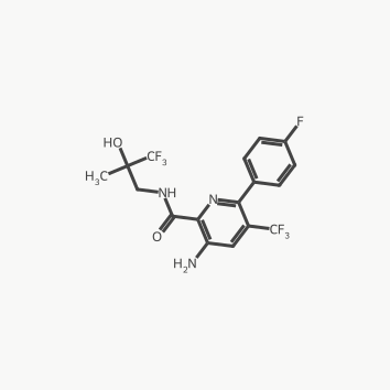 CC(O)(CNC(=O)c1nc(-c2ccc(F)cc2)c(C(F)(F)F)cc1N)C(F)(F)F